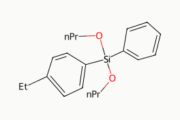 CCCO[Si](OCCC)(c1ccccc1)c1ccc(CC)cc1